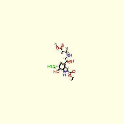 CCOC(=O)c1cc2c(C(O)CNC(C)CC(=O)OC)ccc(O)c2[nH]1.Cl